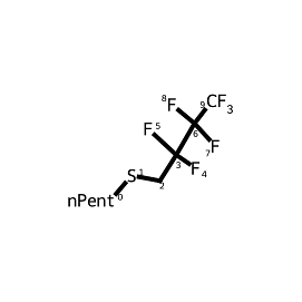 [CH2]CCCCSCC(F)(F)C(F)(F)C(F)(F)F